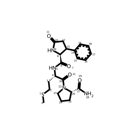 CSCC[C@H](NC(=O)[C@H]1NC(=O)CC1c1ccccc1)C(=O)N1CCC[C@H]1C(N)=O